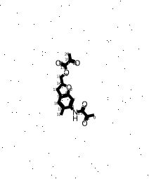 CC(=O)C(=O)Nc1cc2c(cc1C)CC(COC(=O)C(C)=O)O2